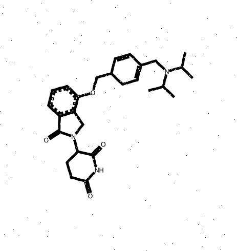 CC(C)N(CC1=CCC(COc2cccc3c2CN(C2CCC(=O)NC2=O)C3=O)C=C1)C(C)C